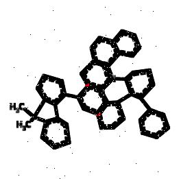 CC1(C)c2ccccc2-c2c(-c3cccc(N(c4cccc(-c5ccccc5)c4-c4ccccc4-c4ccccc4)c4cccc5ccccc45)c3)cccc21